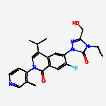 CCn1c(CO)nn(-c2cc3c(C(C)C)cn(-c4ccncc4C)c(=O)c3cc2F)c1=O